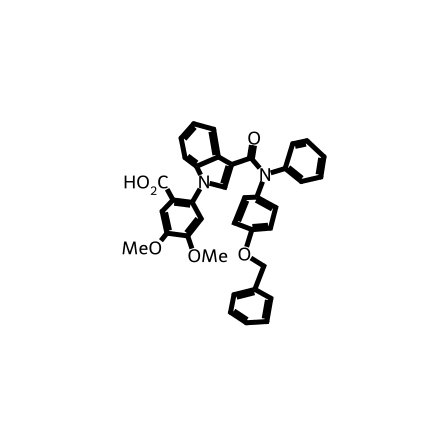 COc1cc(C(=O)O)c(-n2cc(C(=O)N(c3ccccc3)c3ccc(OCc4ccccc4)cc3)c3ccccc32)cc1OC